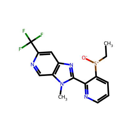 CC[S+]([O-])c1cccnc1-c1nc2cc(C(F)(F)F)ncc2n1C